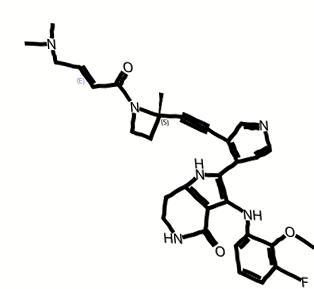 COc1c(F)cccc1Nc1c(-c2ccncc2C#C[C@]2(C)CCN2C(=O)/C=C/CN(C)C)[nH]c2c1C(=O)NCC2